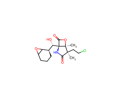 C[C@@]12OC(=O)[C@]1([C@@H](O)[C@H]1CCCC3OC31)NC(=O)[C@]2(C)CCCl